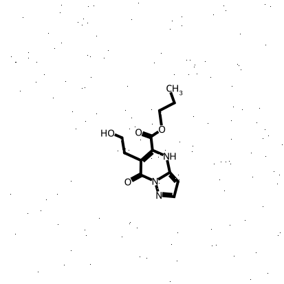 CCCOC(=O)c1[nH]c2ccnn2c(=O)c1CCO